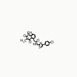 Cn1c(=O)c2c(CC(=O)Nc3nc(-c4ccc(Cl)cc4)cs3)cccc2n(C)c1=O